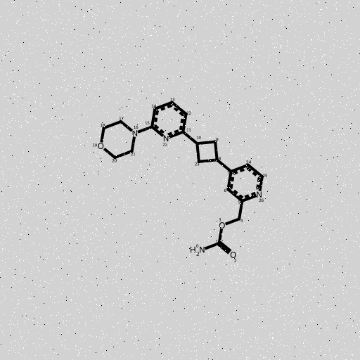 NC(=O)OCc1cc(C2CC(c3cccc(N4CCOCC4)n3)C2)ccn1